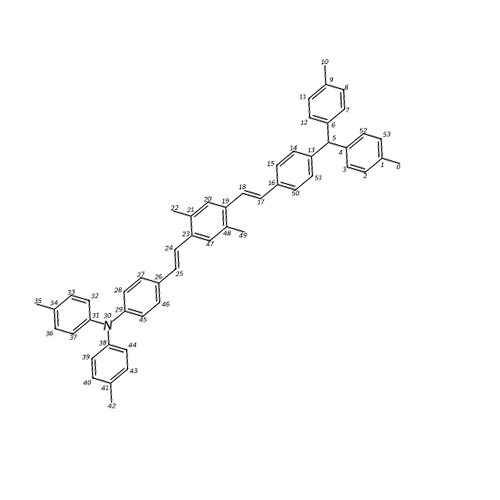 Cc1ccc(C(c2ccc(C)cc2)c2ccc(C=Cc3cc(C)c(C=Cc4ccc(N(c5ccc(C)cc5)c5ccc(C)cc5)cc4)cc3C)cc2)cc1